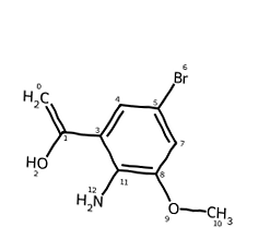 C=C(O)c1cc(Br)cc(OC)c1N